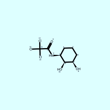 O=C(N[C@H]1CCC[C@@H](O)[C@H]1O)C(Cl)(Cl)Cl